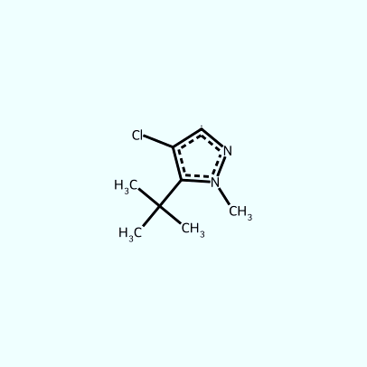 Cn1n[c]c(Cl)c1C(C)(C)C